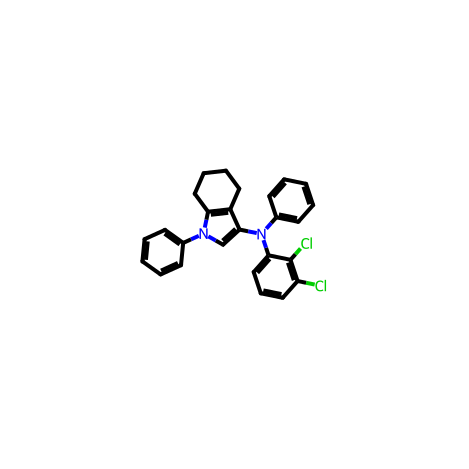 Clc1cccc(N(c2ccccc2)c2cn(-c3ccccc3)c3c2CCCC3)c1Cl